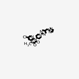 Cn1c(=O)c(=O)n(C2CCN(c3ncc(Cn4nccn4)cn3)CC2)c2ncc(Cl)cc21